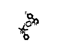 Cc1nn(-c2ccccc2)c(C)c1CN1CCN(c2ncccc2-c2ccc(F)cc2)CC1